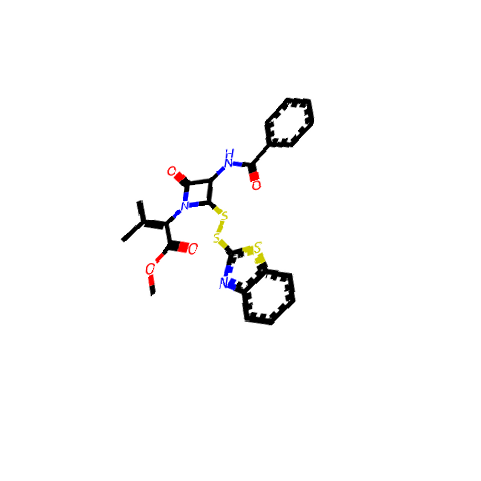 COC(=O)C(=C(C)C)N1C(=O)C(NC(=O)c2ccccc2)C1SSc1nc2ccccc2s1